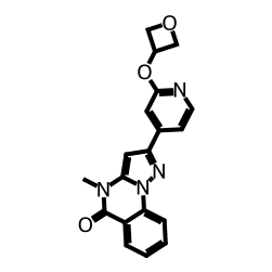 Cn1c(=O)c2ccccc2n2nc(-c3ccnc(OC4COC4)c3)cc12